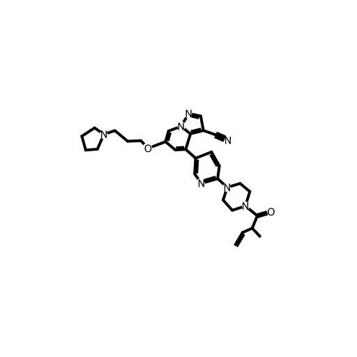 C=CC(C)C(=O)N1CCN(c2ccc(-c3cc(OCCCN4CCCC4)cn4ncc(C#N)c34)cn2)CC1